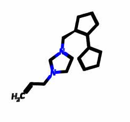 C=CCN1CCN(C[C@H]2CCCC2C2CCCC2)C1